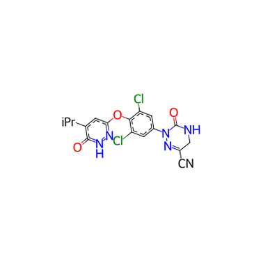 CC(C)c1cc(Oc2c(Cl)cc(N3N=C(C#N)CNC3=O)cc2Cl)n[nH]c1=O